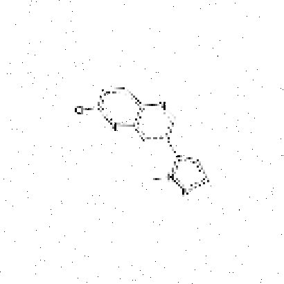 Cn1nccc1-c1cnc2ccc(Cl)nc2c1